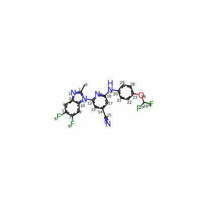 Cc1nc2cc(F)c(F)cc2n1-c1cc(C#N)cc(Nc2ccc(OC(F)F)cc2)n1